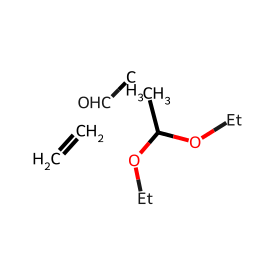 C=C.CC=O.CCOC(C)OCC